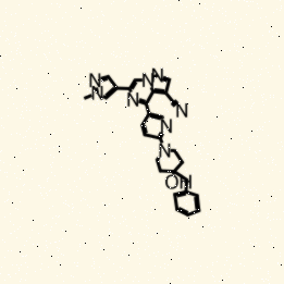 Cn1cc(-c2cn3ncc(C#N)c3c(-c3ccc(N4CCC(O)(Cc5ccccc5)CC4)nc3)n2)cn1